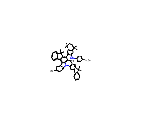 CC(C)(C)c1ccc(Nc2cc3c(cc2-c2c4c(c5c6cc(C(C)(C)C)ccc6n6c5c2Bc2cc5c(cc2-6)-c2ccccc2C5(C)C)-c2ccccc2C4(C)C)C(C)(C)CCC3(C)C)cc1